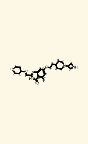 O=c1[nH]c(CSC2CCOCC2)nc2cc(OCCC3CCN(C4CNC4)CC3)cc(F)c12